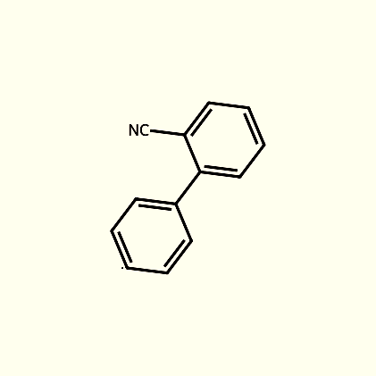 N#Cc1ccccc1-c1cc[c]cc1